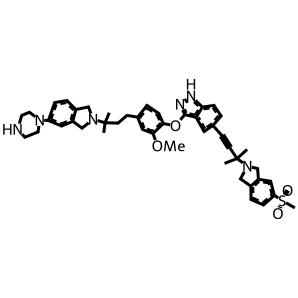 COc1cc(CCC(C)(C)N2Cc3ccc(N4CCNCC4)cc3C2)ccc1Oc1n[nH]c2ccc(C#CC(C)(C)N3Cc4ccc(S(C)(=O)=O)cc4C3)cc12